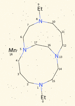 CCN1CCCN2CCN(CC)CCCN(CC1)CC2.[Mn]